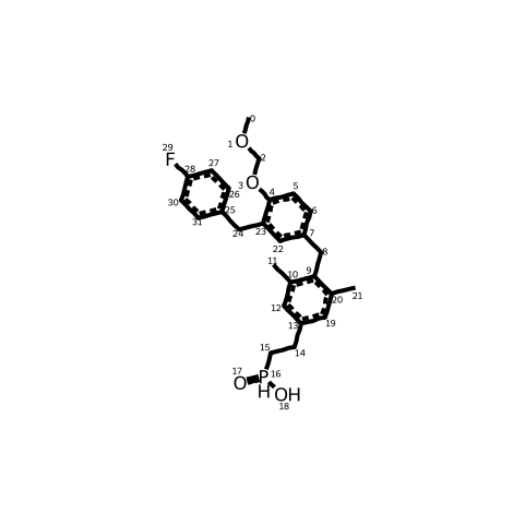 COCOc1ccc(Cc2c(C)cc(CC[PH](=O)O)cc2C)cc1Cc1ccc(F)cc1